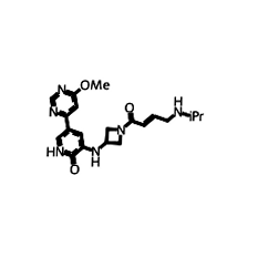 COc1cc(-c2c[nH]c(=O)c(NC3CN(C(=O)/C=C/CNC(C)C)C3)c2)ncn1